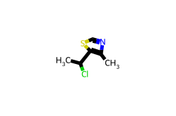 Cc1ncsc1C(C)Cl